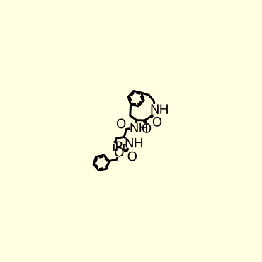 CC(C)CC(NC(=O)OCc1ccccc1)C(=O)NC1Cc2ccc(cc2)CCNC(=O)C1=O